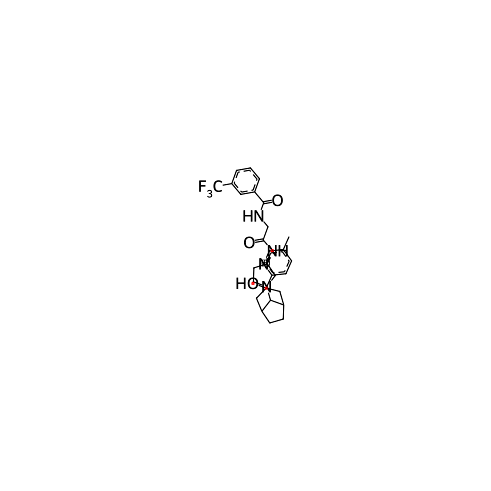 Cc1ccc(C2(O)CC3CCC(C2)C3N2CC[C@@H](NC(=O)CNC(=O)c3cccc(C(F)(F)F)c3)C2)nc1